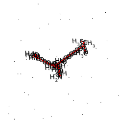 CC[C@H](C)CCC(COCCOC)OCCOCCOCCOCCOCCOCCOCCC(=O)NCCCCC(NC(=O)CNC(=O)CNC(=O)CN)C(=O)NC(CO)C(=O)NCCOCCOCCOCCOC(=O)NC(CO)C(N)=O